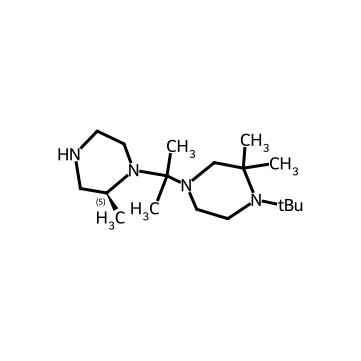 C[C@H]1CNCCN1C(C)(C)N1CCN(C(C)(C)C)C(C)(C)C1